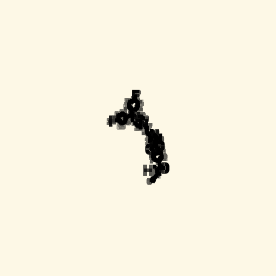 C#CCNC(=O)c1ccc(S(=O)(=O)n2cc(CCN3CCN(C(c4ccc(F)cc4)c4ccc(F)cc4)CC3)nn2)cc1